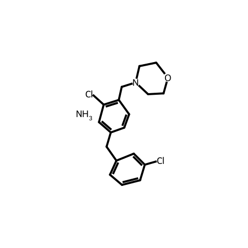 Clc1cccc(Cc2ccc(CN3CCOCC3)c(Cl)c2)c1.N